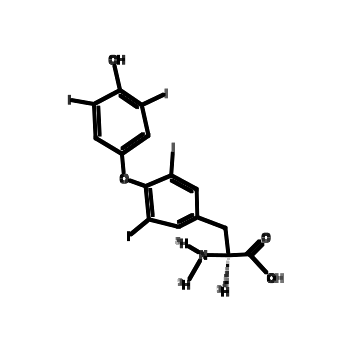 [3H]N([3H])[C@@]([3H])(Cc1cc(I)c(Oc2cc(I)c(O)c(I)c2)c(I)c1)C(=O)O